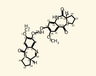 COc1cc2c(cc1ONOc1cc3c(cc1OC)C(=O)N1CCC[C@H]1C(=O)N3)N=C[C@@H]1CCCN1C2=O